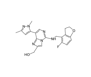 Cc1cc(-c2cnc(NCc3c(F)ccc4c3CCO4)n3cc(CO)nc23)n(C)n1